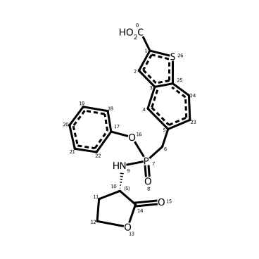 O=C(O)c1cc2cc(CP(=O)(N[C@H]3CCOC3=O)Oc3ccccc3)ccc2s1